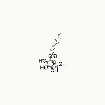 CCCCCCCC(=O)O[C@H]1O[C@H](COC)[C@@H](O)[C@H](O)[C@H]1O